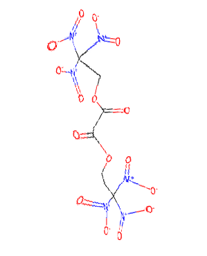 O=C(OCC([N+](=O)[O-])([N+](=O)[O-])[N+](=O)[O-])C(=O)OCC([N+](=O)[O-])([N+](=O)[O-])[N+](=O)[O-]